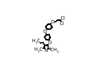 CCCc1c(C)nn(C)c1Oc1ccc(Oc2ccc(OCC=C(Cl)Cl)cc2)cc1